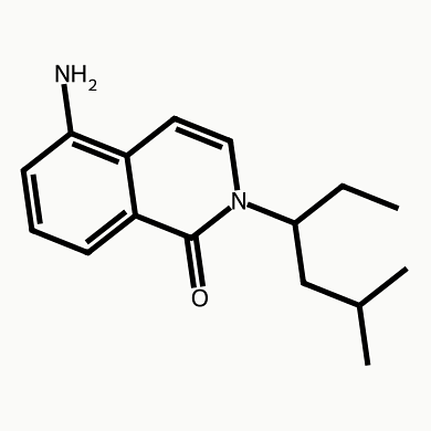 CCC(CC(C)C)n1ccc2c(N)cccc2c1=O